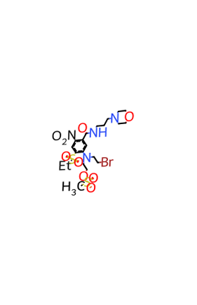 CCS(=O)(=O)c1cc([N+](=O)[O-])c(C(=O)NCCCN2CCOCC2)cc1N(CCBr)CCOS(C)(=O)=O